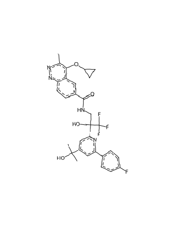 Cc1nnc2ccc(C(=O)NCC(O)(c3cc(C(C)(C)O)cc(-c4ccc(F)cc4)n3)C(F)(F)F)cc2c1OC1CC1